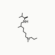 C=C(NCC(C)CCCCN(C)CCC)C(C)C